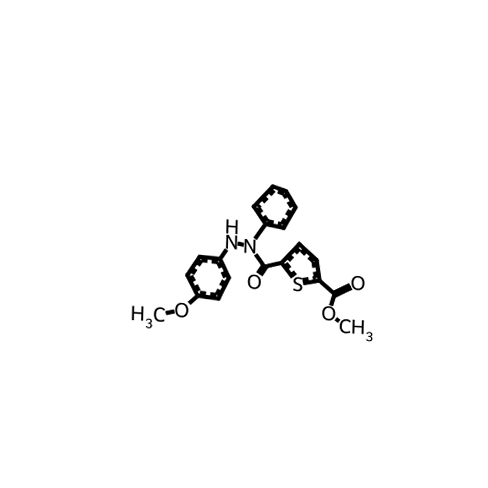 COC(=O)c1ccc(C(=O)N(Nc2ccc(OC)cc2)c2ccccc2)s1